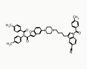 Cc1ccc(C(=O)N(C(=O)c2cc3cc(N4CCN(CCCCc5cn(C(=O)c6ccc(C)cc6)c6ccc(C#N)cc56)CC4)ccc3o2)c2ccc(C)cc2)cc1